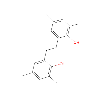 Cc1cc(C)c(O)c(CCc2cc(C)cc(C)c2O)c1